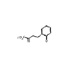 O=C(O)NCC[C@H]1CCC=CC1=O